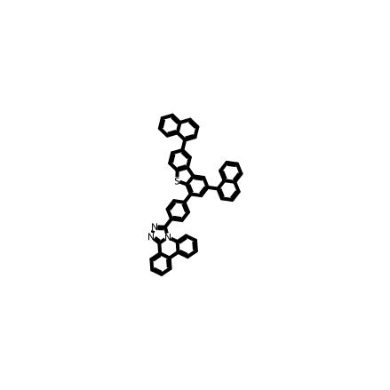 c1ccc2c(-c3ccc4sc5c(-c6ccc(-c7nnc8c9ccccc9c9ccccc9n78)cc6)cc(-c6cccc7ccccc67)cc5c4c3)cccc2c1